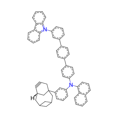 C1#C[C@H]2CC3CC(C3)CC(c3cccc(N(c4ccc(-c5ccc(-c6cccc(-n7c8ccccc8c8ccccc87)c6)cc5)cc4)c4cccc5ccccc45)c3)(C1)C2